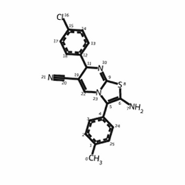 Cc1ccc(C2=C(N)SC3=NC(c4ccc(Cl)cc4)C(C#N)=CN32)cc1